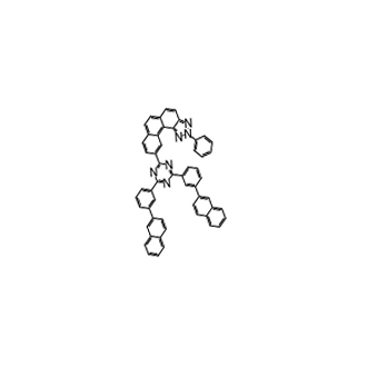 c1ccc(-n2nc3ccc4ccc5ccc(-c6nc(-c7cccc(-c8ccc9ccccc9c8)c7)nc(-c7cccc(-c8ccc9ccccc9c8)c7)n6)cc5c4c3n2)cc1